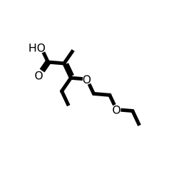 CCOCCO/C(CC)=C(\C)C(=O)O